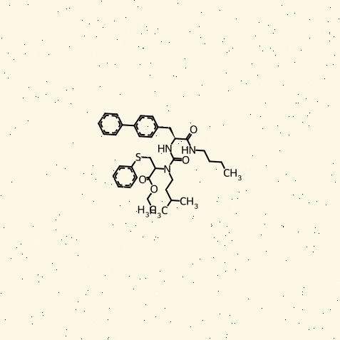 CCCCNC(=O)[C@H](Cc1ccc(-c2ccccc2)cc1)NC(=O)N(CCC(C)C)C(CSc1ccccc1)C(=O)OCC